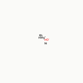 [MgH+].[Ni].[OH-].[Rh]